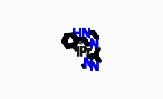 CC(C)c1ccccc1[C@@H]1CN(Cc2cnn(C)c2)CCN1